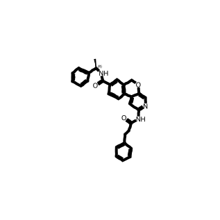 C[C@@H](NC(=O)c1ccc2c(c1)COc1cnc(NC(=O)CCc3ccccc3)cc1-2)c1ccccc1